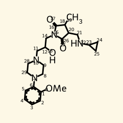 COc1ccccc1N1CCN(CC(O)CN2C(=O)C(C)C(CNC3CC3)C2=O)CC1